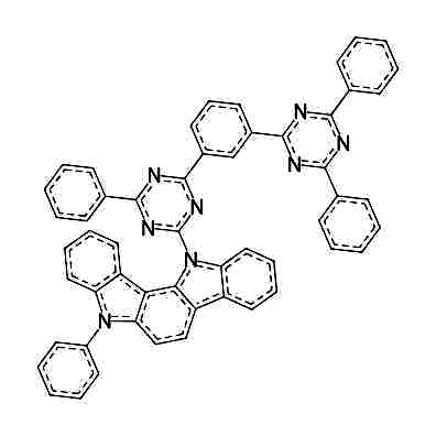 c1ccc(-c2nc(-c3ccccc3)nc(-c3cccc(-c4nc(-c5ccccc5)nc(-n5c6ccccc6c6ccc7c(c8ccccc8n7-c7ccccc7)c65)n4)c3)n2)cc1